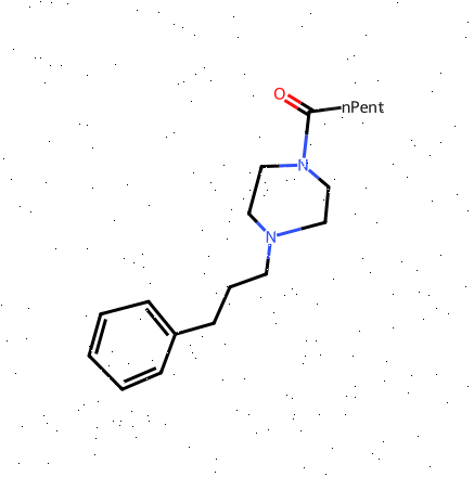 CCCCCC(=O)N1CCN(CCCc2ccccc2)CC1